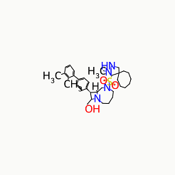 Cc1cccc(-c2ccc([C@@H]3C(CO)N4CCCCN(S(=O)(=O)C5N(C)NCC56CCCCCCC6)C[C@@H]34)cc2)c1C